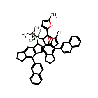 Cc1ccc(C2=Cc3c(cc4c(c3-c3ccc5ccccc5c3)CCC4)[CH]2[Zr]([Cl])([Cl])([CH]2C(c3ccc(C)o3)=Cc3c2cc2c(c3-c3ccc4ccccc4c3)CCC2)[SiH](C)C)o1